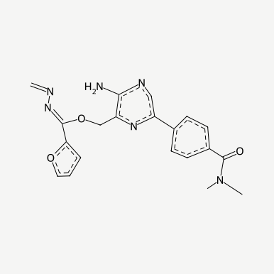 C=N/N=C(\OCc1nc(-c2ccc(C(=O)N(C)C)cc2)cnc1N)c1ccco1